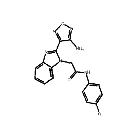 Nc1nonc1-c1nc2ccccc2n1CC(=O)Nc1ccc(Cl)cc1